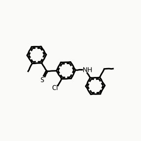 CCc1ccccc1Nc1ccc(C(=S)c2ccccc2C)c(Cl)c1